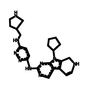 C1=Cc2c(n(C3CCCC3)c3nc(Nc4ccc(NCC5CCNC5)nn4)ncc23)CN1